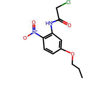 CCCOc1ccc([N+](=O)[O-])c(NC(=O)CCl)c1